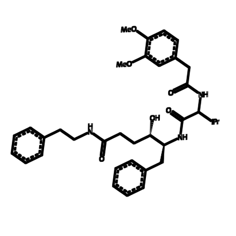 COc1ccc(CC(=O)NC(C(=O)N[C@@H](Cc2ccccc2)[C@@H](O)CCC(=O)NCCc2ccccc2)C(C)C)cc1OC